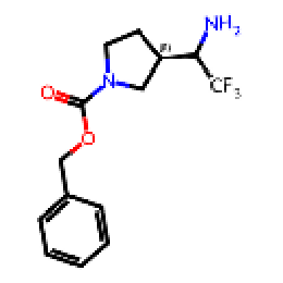 NC([C@@H]1CCN(C(=O)OCc2ccccc2)C1)C(F)(F)F